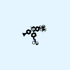 COC(=O)/C=C/c1ccc([C@@H]2c3ccc(OS(=O)(=O)C(F)(F)F)cc3C[C@@H](C)N2c2ccc(C3CC3)cc2)cc1